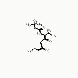 COCC(C)OC(=O)C(NC(=O)OC(C)(C)C)C(C)C